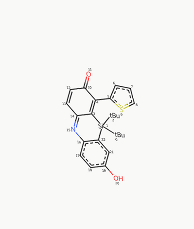 CC(C)(C)[Si]1(C(C)(C)C)C2=C(c3cccs3)C(=O)C=CC2=Nc2ccc(O)cc21